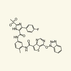 Cc1ccc(NC(=O)c2[nH]c(S(C)(=O)=O)nc2-c2ccc(F)cc2)cc1NC(=O)c1csc2c(On3nnc4ccccc43)ncnc12